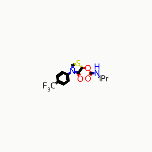 CC(C)NC(=O)OC1SCN(c2ccc(C(F)(F)F)cc2)C1=O